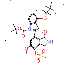 COc1cc(-c2cc3c(O[Si](C)(C)C(C)(C)C)cccc3n2C(=O)OC(C)(C)C)c2c(c1OS(C)(=O)=O)CNC2=O